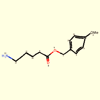 COc1ccc(COC(=O)CCCCN)cc1